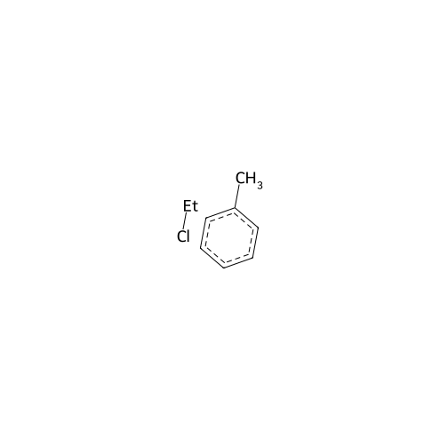 CCCl.Cc1ccccc1